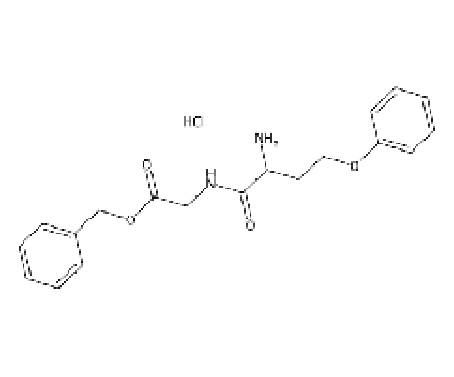 Cl.NC(CCOc1ccccc1)C(=O)NCC(=O)OCc1ccccc1